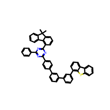 CC1(C)c2ccccc2-c2c(-c3nc(-c4ccccc4)nc(-c4ccc(-c5cccc(-c6cccc(-c7cccc8c7sc7ccccc78)c6)c5)cc4)n3)cccc21